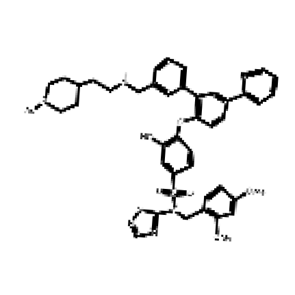 COc1ccc(CN(c2ncns2)S(=O)(=O)c2ccc(Oc3ccc(-c4ccccc4)cc3-c3cccc(CNCCC4CCN(C(C)=O)CC4)c3)c(C#N)c2)c(OC)c1